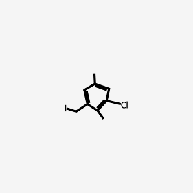 Cc1cc(Cl)c(C)c(CI)c1